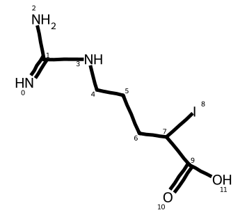 N=C(N)NCCCC(I)C(=O)O